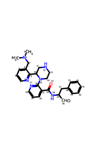 CN(C)Cc1cccnc1C1CNCCN1c1ncccc1C(=O)NC(C=O)Cc1ccccc1